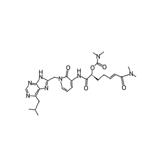 CC(C)Cc1ncnc2[nH]c(Cn3cccc(NC(=O)[C@H](CC/C=C/C(=O)N(C)C)OC(=O)N(C)C)c3=O)nc12